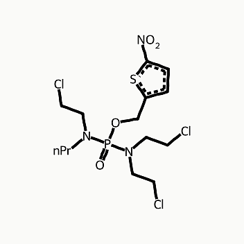 CCCN(CCCl)P(=O)(OCc1ccc([N+](=O)[O-])s1)N(CCCl)CCCl